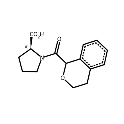 O=C(O)[C@@H]1CCCN1C(=O)C1OCCc2ccccc21